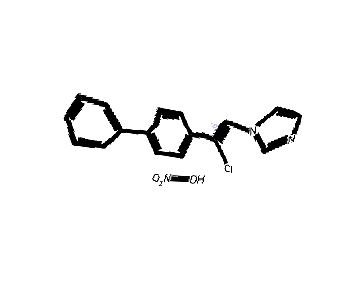 Cl/C(=C\n1ccnc1)c1ccc(-c2ccccc2)cc1.O=[N+]([O-])O